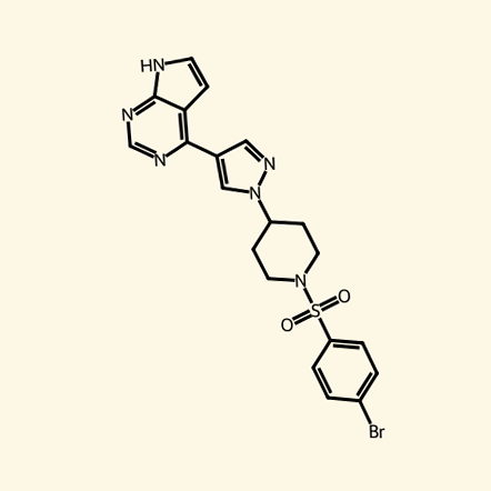 O=S(=O)(c1ccc(Br)cc1)N1CCC(n2cc(-c3ncnc4[nH]ccc34)cn2)CC1